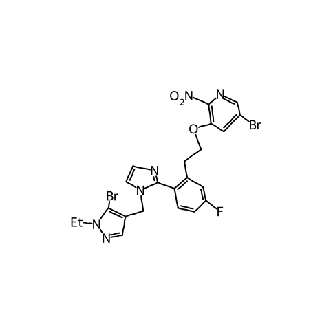 CCn1ncc(Cn2ccnc2-c2ccc(F)cc2CCOc2cc(Br)cnc2[N+](=O)[O-])c1Br